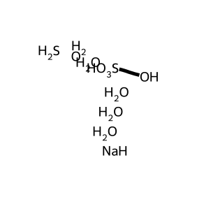 O.O.O.O.O.O=S(=O)(O)O.S.[NaH]